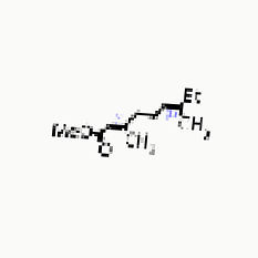 CC/C(C)=C/CC/C(C)=C/C(=O)OC